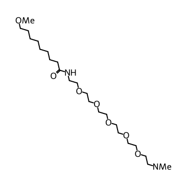 CNCCOCCOCCOCCOCCOCCNC(=O)CCCCCCCCOC